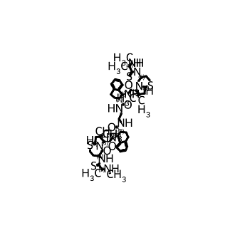 CN[C@@H](C)C(=S)N[C@H]1CCS[C@H]2CC(C)(C)[C@@H](C(=O)N[C@@H]3c4ccccc4CC[C@H]3C(=O)NCCNC(=O)[C@@H]3CCc4ccccc4[C@@H]3NC(=O)[C@H]3N4C(=O)[C@@H](NC(=S)[C@H](C)NC)CCS[C@H]4CC3(C)C)N2C1